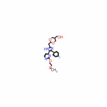 COCCOc1nccc(-c2[nH]c(CC3OCC(CO)CO3)nc2-c2ccc(F)cc2)n1